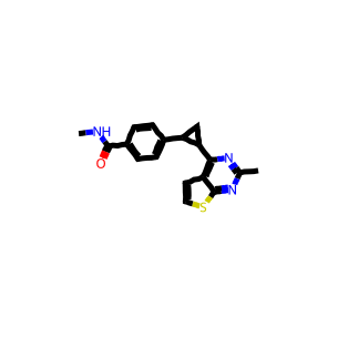 CNC(=O)c1ccc(C2CC2c2nc(C)nc3sccc23)cc1